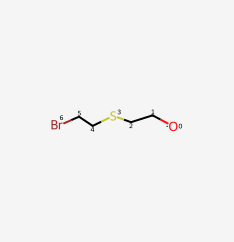 [O]CCSCCBr